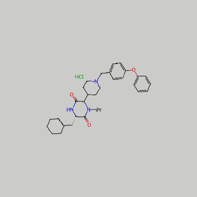 CC(C)N1C(=O)[C@H](CC2CCCCC2)NC(=O)C1C1CCN(Cc2ccc(Oc3ccccc3)cc2)CC1.Cl